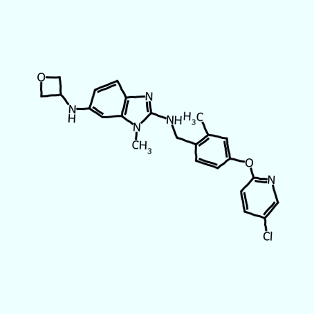 Cc1cc(Oc2ccc(Cl)cn2)ccc1CNc1nc2ccc(NC3COC3)cc2n1C